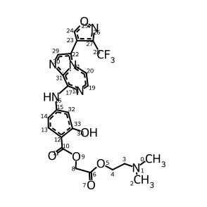 CN(C)CCOC(=O)COC(=O)c1ccc(Nc2nccn3c(-c4conc4C(F)(F)F)cnc23)cc1O